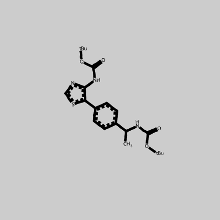 CC(NC(=O)OC(C)(C)C)c1ccc(-c2scnc2NC(=O)OC(C)(C)C)cc1